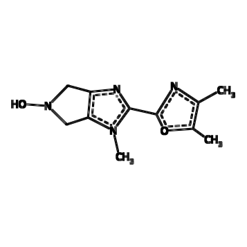 Cc1nc(-c2nc3c(n2C)CN(O)C3)oc1C